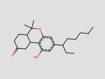 CCCCCC(CC)c1cc(O)c2c(c1)OC(C)(C)C1CCC(=O)CC21